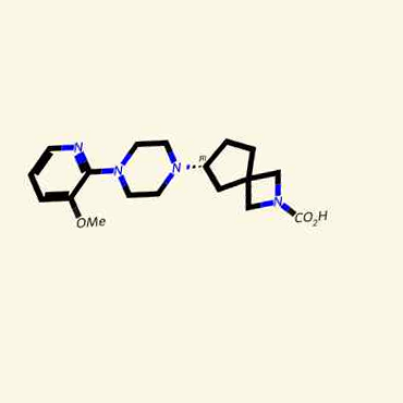 COc1cccnc1N1CCN([C@@H]2CCC3(C2)CN(C(=O)O)C3)CC1